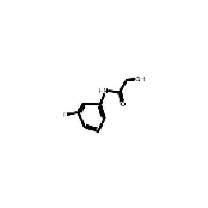 O=C(CO)Nc1cccc(F)c1